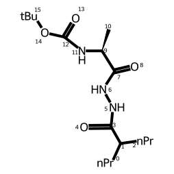 CCCC(CCC)C(=O)NNC(=O)[C@H](C)NC(=O)OC(C)(C)C